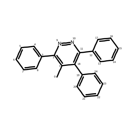 Cc1c(-c2ccccc2)nnc(-c2ccccc2)c1-c1ccccc1